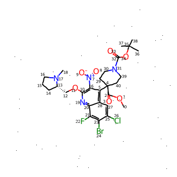 COC(=O)C1(c2c([N+](=O)[O-])c(OC[C@@H]3CCCN3C)nc3c(F)c(Br)c(Cl)cc23)CCN(C(=O)OC(C)(C)C)CC1